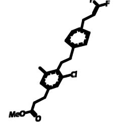 COC(=O)CCc1cc(C)c(CCc2ccc(CC=C(F)F)cc2)c(Cl)c1